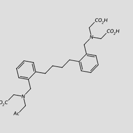 CC(=O)CN(CC(=O)O)Cc1ccccc1CCCCc1ccccc1CN(CC(=O)O)CC(=O)O